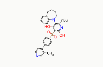 CCCCc1nc(O)c(S(=O)(=O)c2ccc(-c3ccncc3C)cc2)c(O)c1N1CCCCc2ccccc21